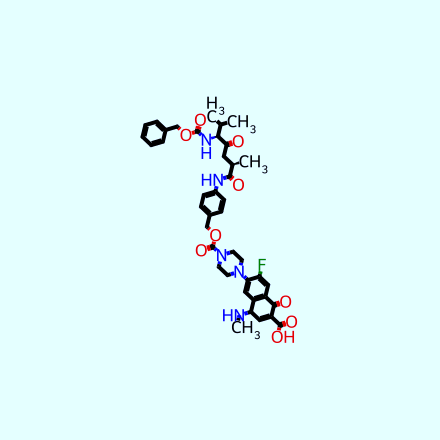 CNC1C=C(C(=O)O)C(=O)c2cc(F)c(N3CCN(C(=O)OCc4ccc(NC(=O)[C@H](C)CC(=O)[C@@H](NC(=O)OCc5ccccc5)C(C)C)cc4)CC3)cc21